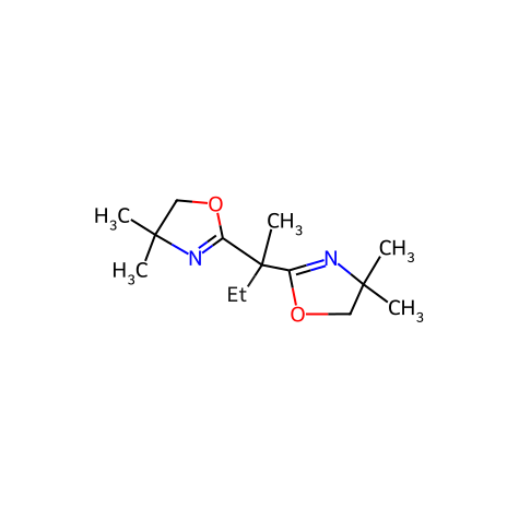 CCC(C)(C1=NC(C)(C)CO1)C1=NC(C)(C)CO1